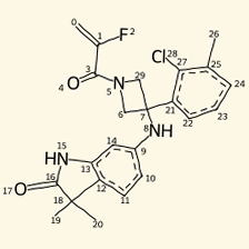 C=C(F)C(=O)N1CC(Nc2ccc3c(c2)NC(=O)C3(C)C)(c2cccc(C)c2Cl)C1